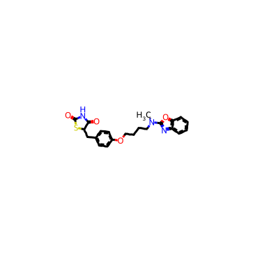 CN(CCCCOc1ccc(CC2SC(=O)NC2=O)cc1)c1nc2ccccc2o1